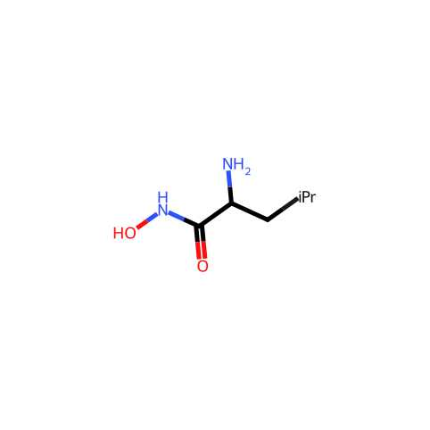 CC(C)CC(N)C(=O)NO